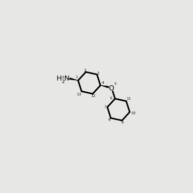 N[C@H]1CC[C@@H](OC2CCCCC2)CC1